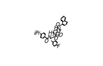 CC(C)c1ccc(C(=O)N[C@@H](Cc2ccc(F)cc2)C(=O)N2CC[C@@H]3[C@H]2C(=O)CN3C(=O)c2cccc3ccccc23)cc1